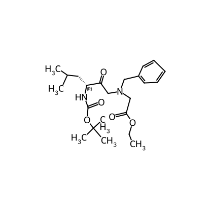 CCOC(=O)CN(CC(=O)[C@@H](CC(C)C)NC(=O)OC(C)(C)C)Cc1ccccc1